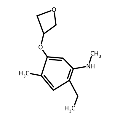 CCc1cc(C)c(OC2COC2)cc1NC